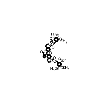 COc1cc(COC(=O)N2CCCc3cc4c(cc32)Oc2cc3c(cc2C42OC(=O)c4ccccc42)CCCN3C(=O)OCc2cc(OC)c(OC)cc2[N+](=O)[O-])c([N+](=O)[O-])cc1OC